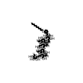 CCCCCCCCCCCOc1cccc(C(=O)N[C@@H]2C(O[C@H]3C(O)C(NC(C)=O)[C@H](OC4C(CO)O[C@@H](O[C@H]5C(O)C(NC(C)=O)C(OC6C(CO[C@@H]7OC(C)C(O)[C@H](O)[C@H]7O)OC(O)[C@@H](NC(C)=O)[C@H]6O)O[C@H]5CO)[C@@H](NC(C)=O)[C@H]4O)O[C@H]3CO)OC(CO)[C@@H](O)[C@@H]2O)c1